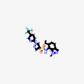 CCc1ccc2cnn(C)c2c1NS(=O)(=O)c1cnn(-c2ccc(C(F)(F)F)cn2)c1